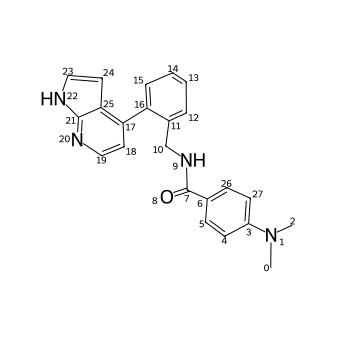 CN(C)c1ccc(C(=O)NCc2ccccc2-c2ccnc3[nH]ccc23)cc1